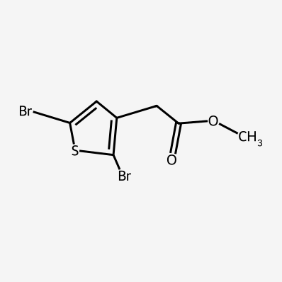 COC(=O)Cc1cc(Br)sc1Br